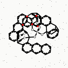 O=P(OC12CC=C(c3ccc1cc3)c1ccc3cc4ccccc4cc3c12)(OC12CC=C(c3ccc1cc3)c1ccc3cc4ccccc4cc3c12)OC12CC=C(c3ccc1cc3)c1ccc3cc4ccccc4cc3c12